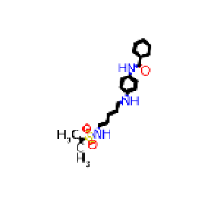 CC(C)S(=O)(=O)NCCCCCNc1ccc(NC(=O)C2CCCCC2)cc1